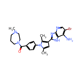 Cc1cc(-c2nc3ncc(Br)c(N)c3[nH]2)c(C)n1-c1ccc(C(=O)N2CCCN(C)CC2)cc1